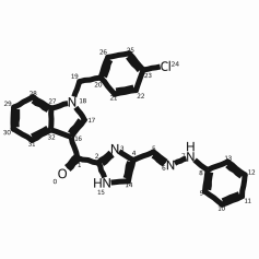 O=C(c1nc(C=NNc2ccccc2)c[nH]1)c1cn(Cc2ccc(Cl)cc2)c2ccccc12